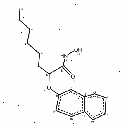 CCCCCCC(Oc1ccc2ccccc2c1)C(=O)NO